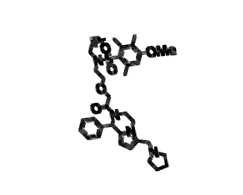 COc1cc(C)c(S(=O)(=O)N(CCOCC(=O)N2CCn3c(CN4CCCC4)ccc3C2c2ccccc2)CC(C)C)c(C)c1C